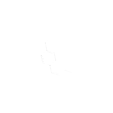 CC/C=[C]\c1ccc(CC)cc1